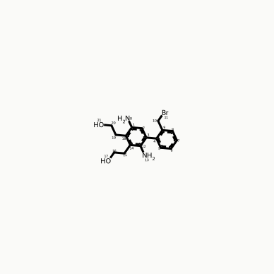 Nc1cc(-c2ccccc2CBr)c(N)c(CCO)c1CCO